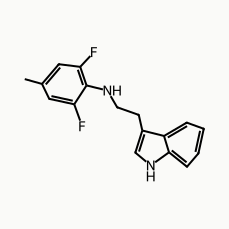 Cc1cc(F)c(NCCc2c[nH]c3ccccc23)c(F)c1